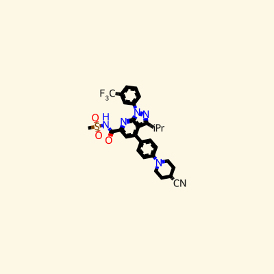 CC(C)c1nn(-c2cccc(C(F)(F)F)c2)c2nc(C(=O)NS(C)(=O)=O)cc(-c3ccc(N4CCC(C#N)CC4)cc3)c12